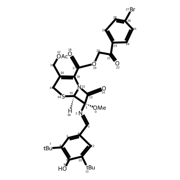 CO[C@@]1(/N=C/c2cc(C(C)(C)C)c(O)c(C(C)(C)C)c2)C(=O)N2C(C(=O)OCC(=O)c3ccc(Br)cc3)=C(COC(C)=O)CS[C@@H]21